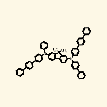 CC1(C)c2cc(N(c3ccccc3)c3ccc(-c4ccc(-c5ccccc5)cc4)cc3)ccc2-c2ccc(N(c3ccc(-c4ccccc4)cc3)c3ccc(-c4ccc(-c5ccccc5)cc4)cc3)cc21